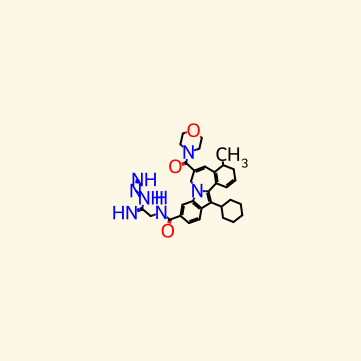 CC1CC=CC2=C1C=C(C(=O)N1CCOCC1)Cn1c2c(C2CCCCC2)c2ccc(C(=O)NCC(=N)NN=N)cc21